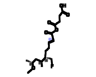 CO[C@H](C)C[C@H](C)[C@@H](CF)CC/C=C/C(=O)OC(=O)CCC(=O)O